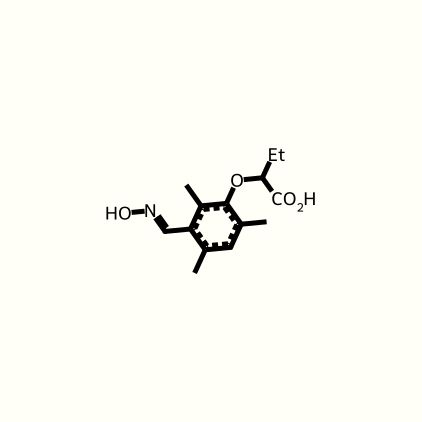 CCC(Oc1c(C)cc(C)c(C=NO)c1C)C(=O)O